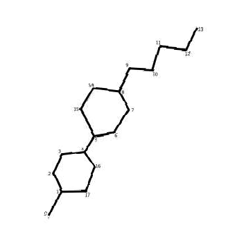 [CH2]C1CCC(C2CCC(CCCCC)CC2)CC1